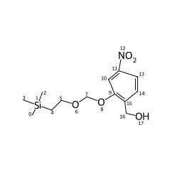 C[Si](C)(C)CCOCOc1cc([N+](=O)[O-])ccc1CO